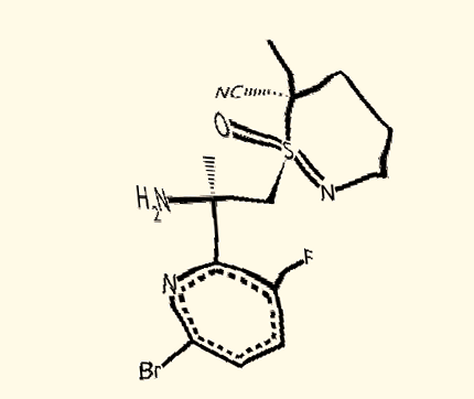 C[C@](N)(C[S@]1(=O)=NCCC[C@@]1(C)C#N)c1nc(Br)ccc1F